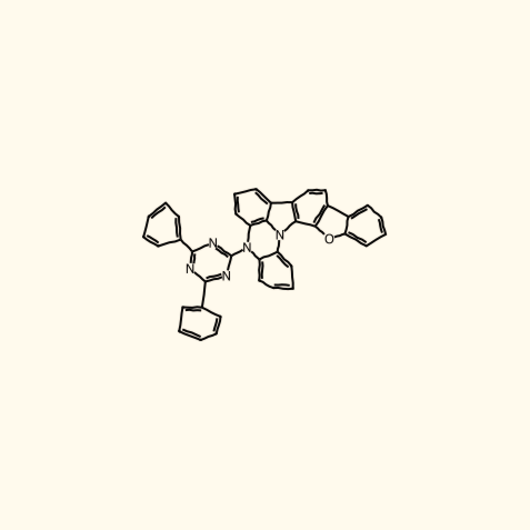 c1ccc(-c2nc(-c3ccccc3)nc(N3c4ccccc4-n4c5c3cccc5c3ccc5c6ccccc6oc5c34)n2)cc1